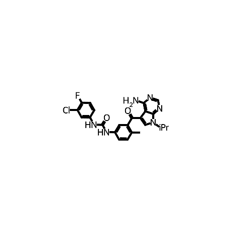 Cc1ccc(NC(=O)Nc2ccc(F)c(Cl)c2)cc1C(=O)c1cn(C(C)C)c2ncnc(N)c12